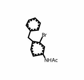 CC(=O)Nc1ccc(Cc2ccccc2)c(Br)c1